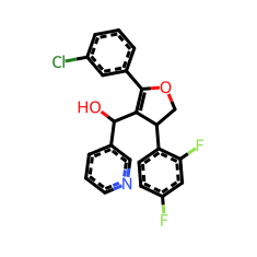 OC(C1=C(c2cccc(Cl)c2)OCC1c1ccc(F)cc1F)c1cccnc1